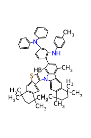 Cc1ccc(Nc2cc(N(c3ccccc3)c3ccccc3)ccc2-c2cc(C)c3c4cc5c(cc4n4c3c2Bc2sc3cc6c(cc3c2-4)C(C)(C)CCC6(C)C)C(C)(C)CCC5(C)C)cc1